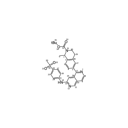 CC1c2ccc(-c3nccc4cnc(Nc5ccc(S(C)(=O)=O)cc5)cc34)cc2CCN1C(=O)OC(C)(C)C